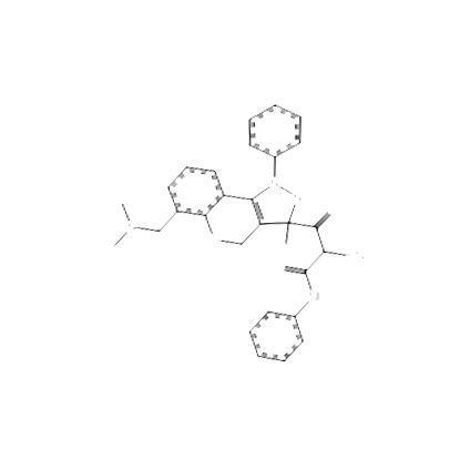 CN(C)Cc1cccc2c1OCC1=C2N(c2ccccc2)NC1(F)C(=O)C(C#N)C(=O)Nc1ccccc1